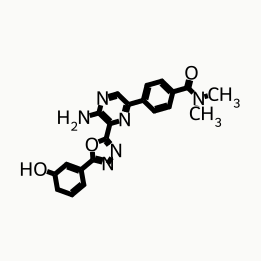 CN(C)C(=O)c1ccc(-c2cnc(N)c(-c3nnc(C4=CC(O)CC=C4)o3)n2)cc1